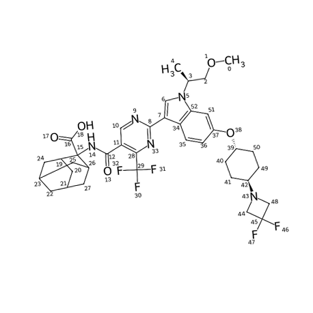 COC[C@H](C)n1cc(-c2ncc(C(=O)NC3(C(=O)O)C4CC5CC(C4)CC3C5)c(C(F)(F)F)n2)c2ccc(O[C@H]3CC[C@H](N4CC(F)(F)C4)CC3)cc21